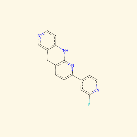 Fc1cc(-c2ccc3c(n2)Nc2ccncc2C3)ccn1